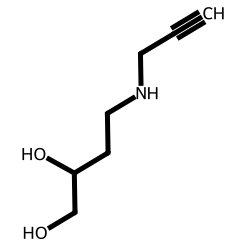 C#CCNCCC(O)CO